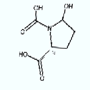 O=C(O)[C@H]1CCC(O)N1C(=O)O